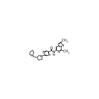 Cc1cn2cc(NC(=O)c3cnc(N4CCC(CN5CCCC5)C4)cn3)nc(C)c2n1